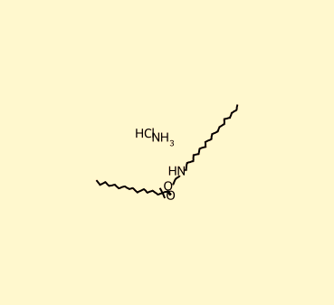 CCCCCCCCCCCCCCCCCCNCCCOC(=O)C(C)(C)CCCCCCCCCCCCCC.Cl.N